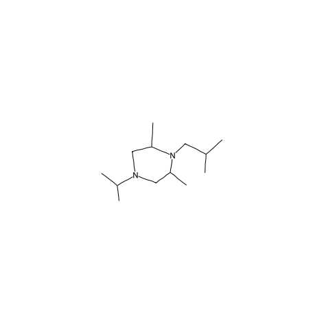 CC(C)CN1C(C)CN(C(C)C)CC1C